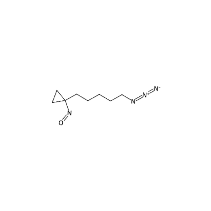 [N-]=[N+]=NCCCCCC1(N=O)CC1